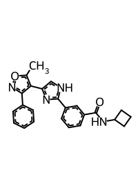 Cc1onc(-c2ccccc2)c1-c1c[nH]c(-c2cccc(C(=O)NC3CCC3)c2)n1